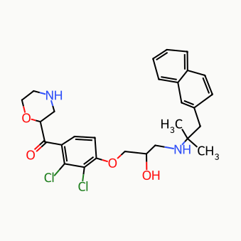 CC(C)(Cc1ccc2ccccc2c1)NCC(O)COc1ccc(C(=O)C2CNCCO2)c(Cl)c1Cl